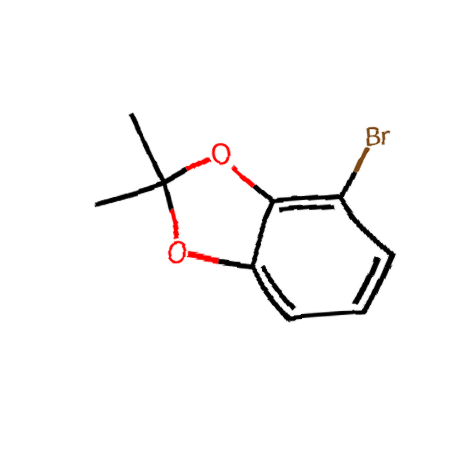 CC1(C)Oc2cccc(Br)c2O1